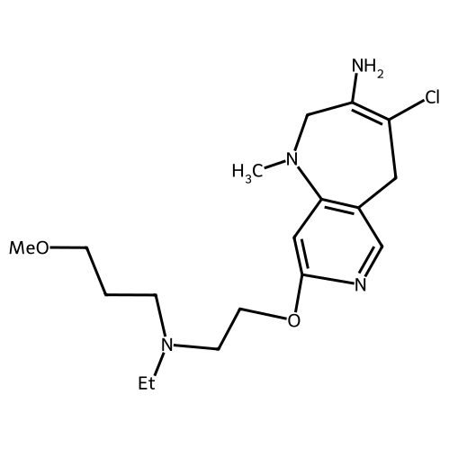 CCN(CCCOC)CCOc1cc2c(cn1)CC(Cl)=C(N)CN2C